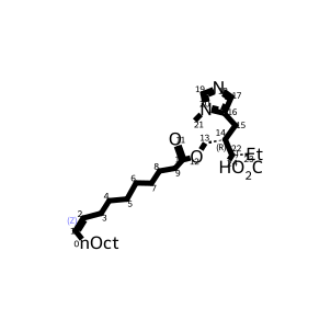 CCCCCCCC/C=C\CCCCCCCC(=O)OC[C@H](Cc1cncn1C)[C@H](CC)C(=O)O